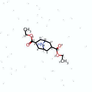 CCOC(=O)C1CC2CC(C(=O)OCC)CC(C1)N2